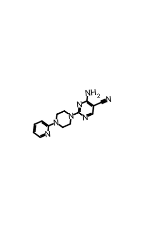 N#Cc1cnc(N2CCN(c3ccccn3)CC2)nc1N